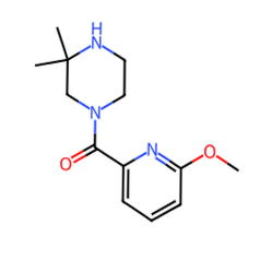 COc1cccc(C(=O)N2CCNC(C)(C)C2)n1